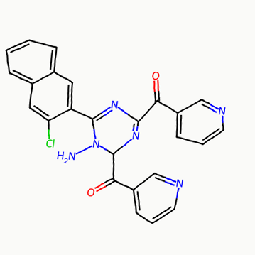 NN1C(c2cc3ccccc3cc2Cl)=NC(C(=O)c2cccnc2)=NC1C(=O)c1cccnc1